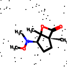 CON(C)[C@@H]1CC[C@]2(C)C(=O)OC12C